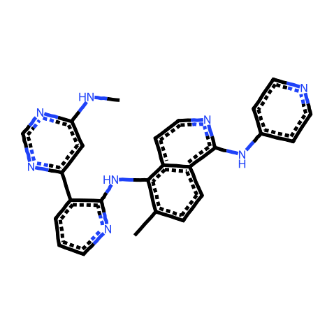 CNc1cc(-c2cccnc2Nc2c(C)ccc3c(Nc4ccncc4)nccc23)ncn1